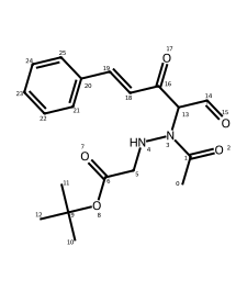 CC(=O)N(NCC(=O)OC(C)(C)C)C([C]=O)C(=O)C=Cc1ccccc1